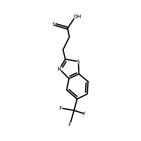 OC(=S)CCc1nc2cc(C(F)(F)F)ccc2s1